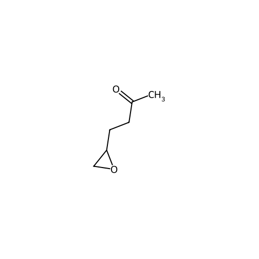 CC(=O)CCC1CO1